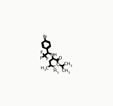 CC(C)CC(NC(c1ccc(Br)cc1)C(F)(F)F)C(=O)OC(C)C